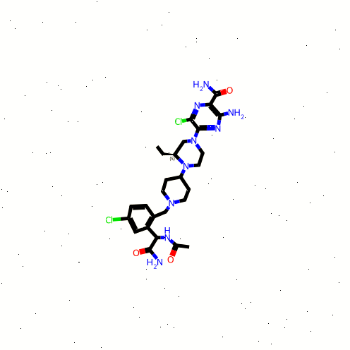 CC[C@H]1CN(c2nc(N)c(C(N)=O)nc2Cl)CCN1C1CCN(Cc2ccc(Cl)cc2C(NC(C)=O)C(N)=O)CC1